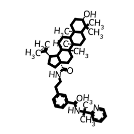 C=C(C)[C@@H]1CC[C@]2(C(=O)NCCc3cccc(C(=O)NC(C)(C)c4ccccn4)c3)CC[C@]3(C)C(CCC4[C@@]5(C)CC[C@H](O)C(C)(C)C5CC[C@]43C)C12